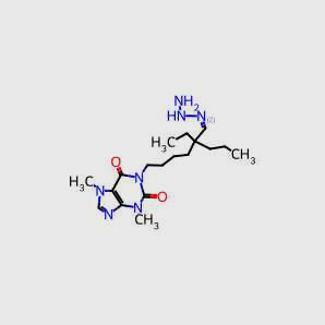 CCCC(/C=N\NN)(CC)CCCCn1c(=O)c2c(ncn2C)n(C)c1=O